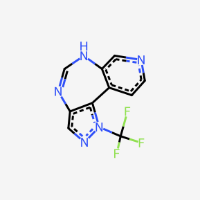 FC(F)(F)n1ncc2c1-c1ccncc1NC=N2